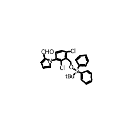 CC(C)(C)[Si](OCc1c(Cl)ccc(-n2cccc2C=O)c1Cl)(c1ccccc1)c1ccccc1